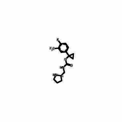 O=C(NC[C@H]1CCCN1)OC1(c2ccc(F)c(C(F)(F)F)c2)CC1